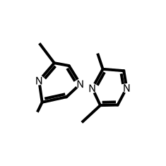 Cc1cncc(C)n1.Cc1cncc(C)n1